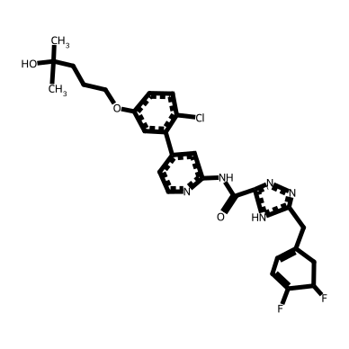 CC(C)(O)CCCOc1ccc(Cl)c(-c2ccnc(NC(=O)c3nnc(CC4=CC=C(F)C(F)C4)[nH]3)c2)c1